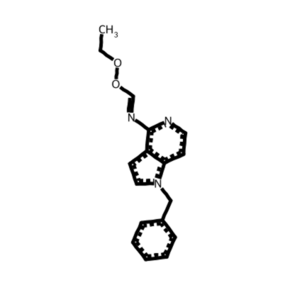 CCOO/C=N/c1nccc2c1ccn2Cc1ccccc1